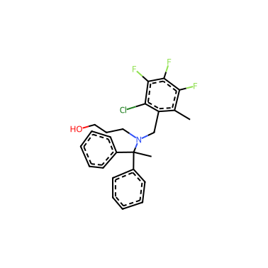 Cc1c(F)c(F)c(F)c(Cl)c1CN(CCCO)C(C)(c1ccccc1)c1ccccc1